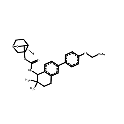 COCOc1ccc(-c2ccc3c(c2)CCC(C)(C)C3NC(=O)O[C@H]2CN3CCC2CC3)cc1